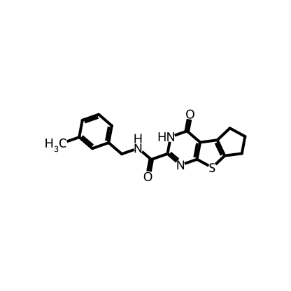 Cc1cccc(CNC(=O)c2nc3sc4c(c3c(=O)[nH]2)CCC4)c1